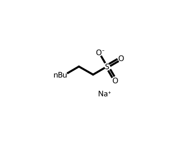 CCCCCCS(=O)(=O)[O-].[Na+]